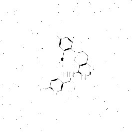 COC[C@@H](Nc1ncnc2c1CN(c1ccc(C)cc1C#N)CC2)c1ccc(OC)nc1